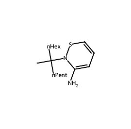 CCCCCCC(C)(CCCCC)N1SC=CC=C1N